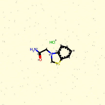 Cl.NC(=O)CN1CSc2ccccc21